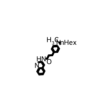 CCCCCCN(C)c1ccc(CCC(=O)Nc2cnc3ccccc3c2)cc1